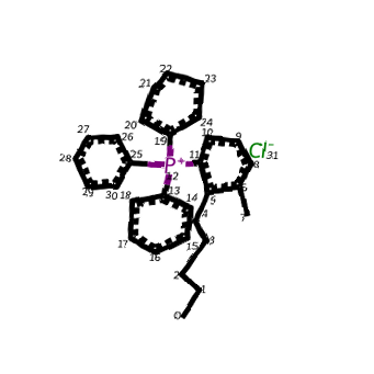 CCCCCc1c(C)cccc1[P+](c1ccccc1)(c1ccccc1)c1ccccc1.[Cl-]